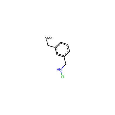 CSCc1cccc(CNCl)c1